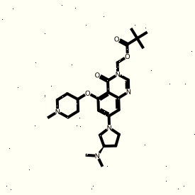 CN1CCC(Oc2cc(N3CC[C@@H](N(C)C)C3)cc3ncn(COC(=O)C(C)(C)C)c(=O)c23)CC1